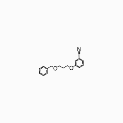 N#Cc1cccc(OCCCOCc2ccccc2)c1